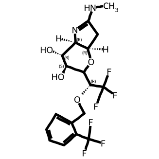 CNC1=N[C@@H]2[C@@H](O)[C@H](O)C([C@@H](OCc3ccccc3C(F)(F)F)C(F)(F)F)O[C@@H]2C1